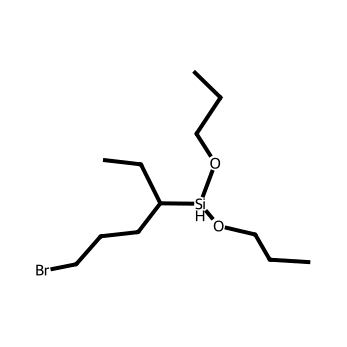 CCCO[SiH](OCCC)C(CC)CCCBr